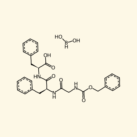 O=C(CNC(=O)OCc1ccccc1)N[C@@H](Cc1ccccc1)C(=O)N[C@@H](Cc1ccccc1)C(=O)O.OBO